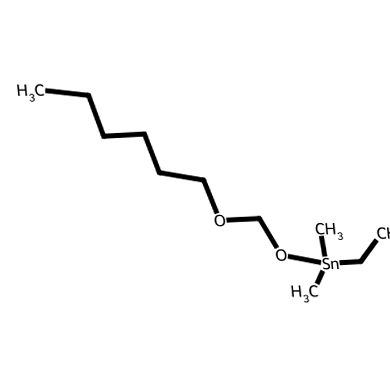 CCCCCCOC[O][Sn]([CH3])([CH3])[CH2]C